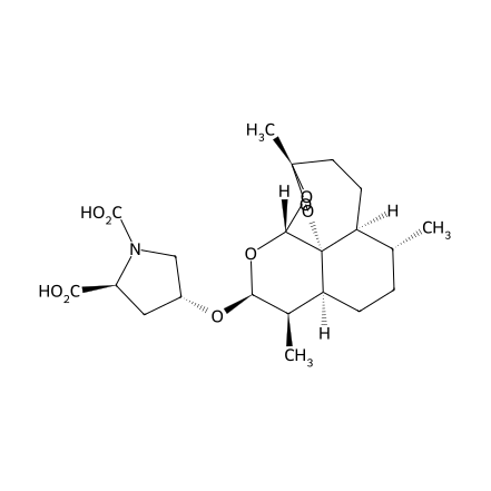 C[C@H]1[C@@H](O[C@@H]2C[C@@H](C(=O)O)N(C(=O)O)C2)O[C@@H]2O[C@@]3(C)CC[C@H]4[C@H](C)CC[C@@H]1[C@@]24OO3